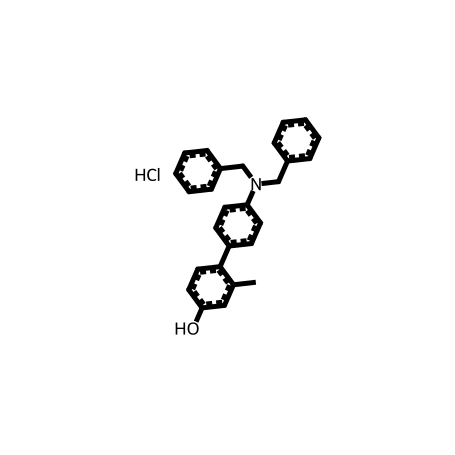 Cc1cc(O)ccc1-c1ccc(N(Cc2ccccc2)Cc2ccccc2)cc1.Cl